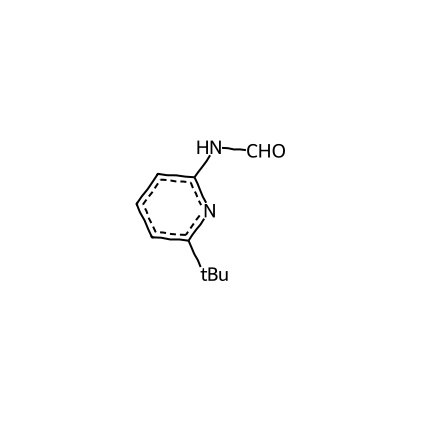 CC(C)(C)c1cccc(NC=O)n1